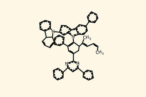 C/C=C\C=C(/C)C1CC(c2nc(-c3ccccc3)cc(-c3ccccc3)n2)=CC(c2ccccc2)=C1n1c2ccc(-c3ccccc3)cc2c2ccc(N3c4ccccc4C4C=CC=CC43)cc21